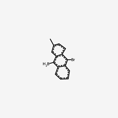 Bc1c2ccccc2c(Br)c2ccc(C)cc12